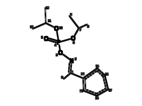 C/C(=N\OP(=O)(OC(C)C)OC(C)C)c1ccccc1